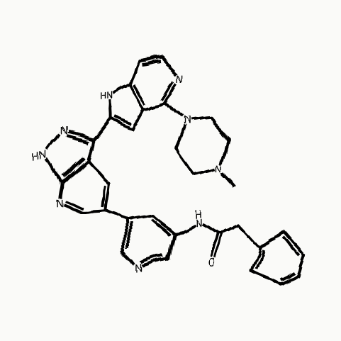 CN1CCN(c2nccc3[nH]c(-c4n[nH]c5ncc(-c6cncc(NC(=O)Cc7ccccc7)c6)cc45)cc23)CC1